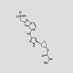 CCS(=N)(=O)Cc1cc2c(Nc3cc([C@H]4CC[C@@H](OC(=O)NC(C)(C)C)C4)[nH]n3)nccn2n1